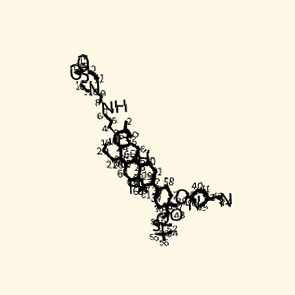 C=C(C)[C@H](CCCNCCN1CCS(=O)(=O)CC1)[C@H]1CCC[C@]2(C)[C@@H]1CC[C@@H]1[C@@]3(C)CC=C(C4=CCC(COc5ccc(C#N)cn5)(C(=O)O[Si](C)(C)C(C)(C)C)CC4)C(C)(C)[C@@H]3CC[C@]12C